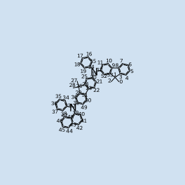 CC1(C)c2ccccc2-c2ccc(N(c3ccccc3)c3ccc4c(c3)C(C)(C)c3cc(N(c5ccccc5)c5cccc6ccccc56)ccc3-4)cc21